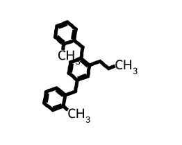 CCCc1cc(Cc2ccccc2C)ccc1Cc1ccccc1C